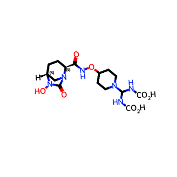 O=C(O)NC(NC(=O)O)N1CCC(ONC(=O)[C@@H]2CC[C@@H]3CN2C(=O)N3O)CC1